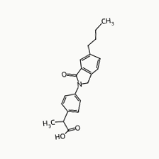 CCCCc1ccc2c(c1)C(=O)N(c1ccc(C(C)C(=O)O)cc1)C2